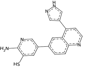 Nc1ncc(-c2ccc3nccc(-c4cn[nH]c4)c3c2)cc1S